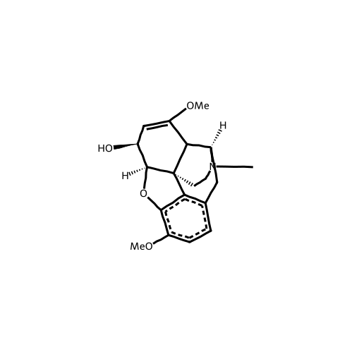 COC1=C[C@H](O)[C@@H]2Oc3c(OC)ccc4c3[C@@]23CCN(C)[C@H](C4)C13